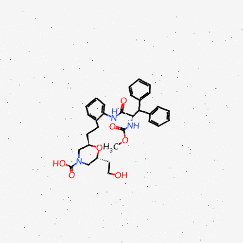 COC(=O)N[C@H](C(=O)Nc1ccccc1CC[C@@H]1CN(C(=O)O)C[C@@H](CCO)O1)C(c1ccccc1)c1ccccc1